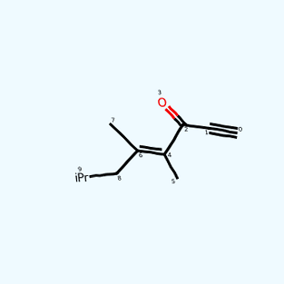 C#CC(=O)/C(C)=C(\C)CC(C)C